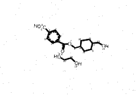 O=C(O)c1ccc(C(=O)OCC2CCC(CO)CC2)cc1.OCCO